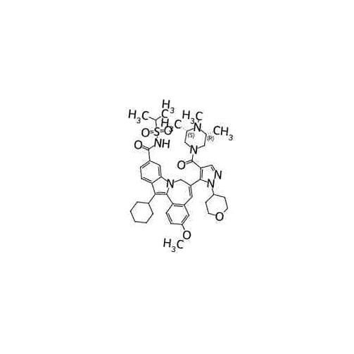 COc1ccc2c(c1)C=C(c1c(C(=O)N3C[C@@H](C)N(C)[C@@H](C)C3)cnn1C1CCOCC1)Cn1c-2c(C2CCCCC2)c2ccc(C(=O)NS(=O)(=O)C(C)C)cc21